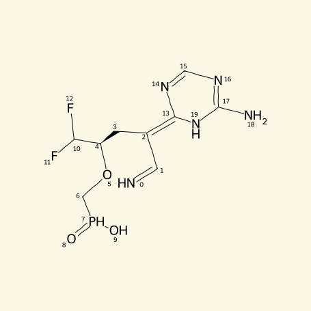 N=C/C(C[C@@H](OC[PH](=O)O)C(F)F)=C1/N=CN=C(N)N1